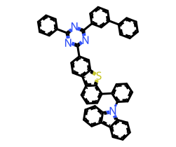 c1ccc(-c2cccc(-c3nc(-c4ccccc4)nc(-c4ccc5c(c4)sc4c(-c6ccccc6-n6c7ccccc7c7ccccc76)cccc45)n3)c2)cc1